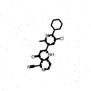 Cc1nc(C2CCCCC2)c(Cl)cc1-c1cc(=O)c2c(C#N)nccc2[nH]1